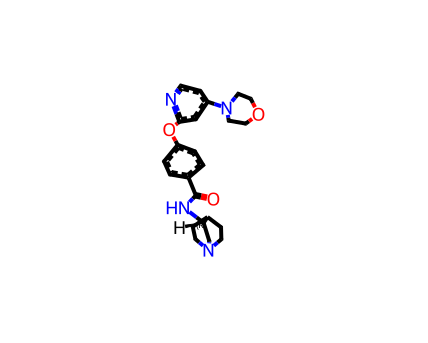 O=C(N[C@H]1CN2CCC1CC2)c1ccc(Oc2cc(N3CCOCC3)ccn2)cc1